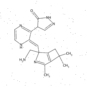 CC1=NC(C=C2NC=CN=C2C2C=NNC2=O)(CN)C2=C1C(C)(C)C2